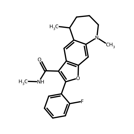 CNC(=O)c1c(-c2ccccc2F)oc2cc3c(cc12)C(C)CCCN3C